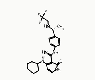 C[C@@H](NCC(F)(F)F)c1ccc(NC(=N)c2c(NC3CCCCC3)cc[nH]c2=O)cc1